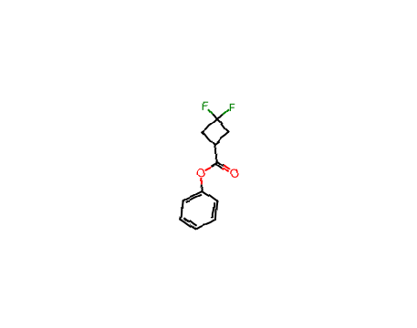 O=C(Oc1ccccc1)C1CC(F)(F)C1